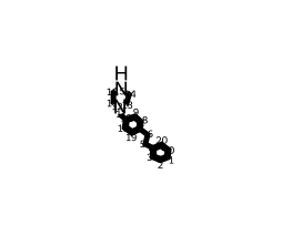 [c]1cccc(CCc2ccc(CN3CCNCC3)cc2)c1